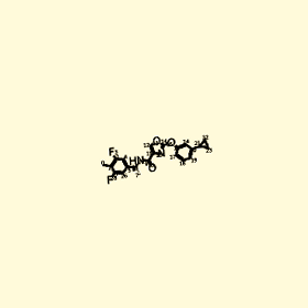 Cc1c(F)cc([C@@H](C)NC(=O)c2coc(Oc3cccc(C4CC4)c3)n2)cc1F